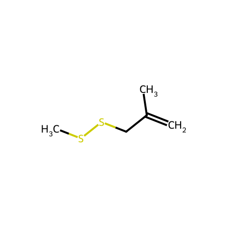 C=C(C)CSSC